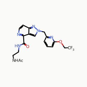 CC(=O)NCCNC(=O)c1nccc2nn(Cc3cccc(OCC(F)(F)F)n3)cc12